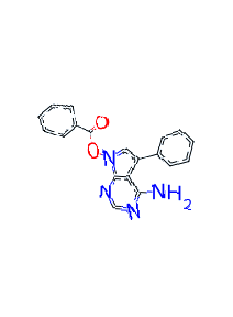 Nc1ncnc2c1c(-c1ccccc1)cn2OC(=O)c1ccccc1